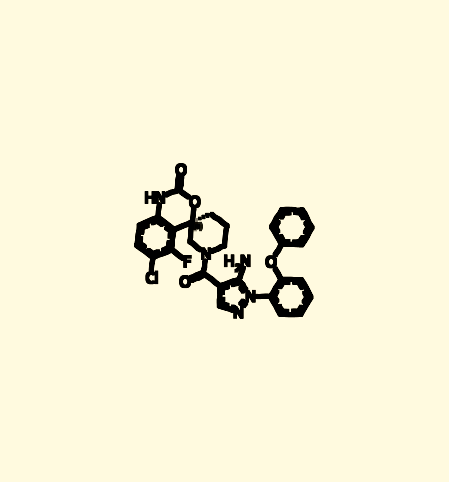 Nc1c(C(=O)N2CCC[C@@]3(C2)OC(=O)Nc2ccc(Cl)c(F)c23)cnn1-c1ccccc1Oc1ccccc1